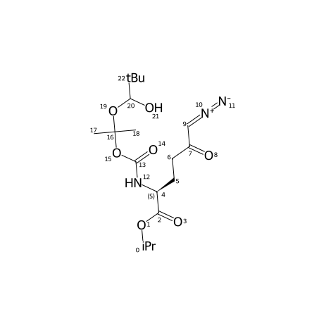 CC(C)OC(=O)[C@H](CCC(=O)C=[N+]=[N-])NC(=O)OC(C)(C)OC(O)C(C)(C)C